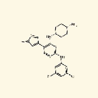 Cn1cc(-c2cnc(Nc3cc(Cl)cc(Cl)c3)nc2N[C@H]2CC[C@@H](N)CC2)cn1